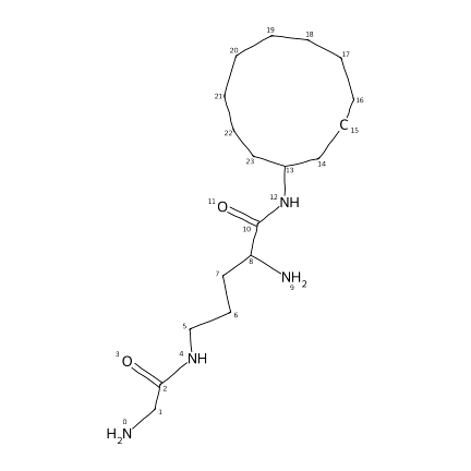 NCC(=O)NCCCC(N)C(=O)NC1CCCCCCCCCC1